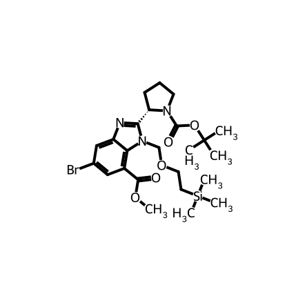 COC(=O)c1cc(Br)cc2nc([C@@H]3CCCN3C(=O)OC(C)(C)C)n(COCC[Si](C)(C)C)c12